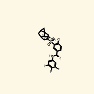 O=C(Nc1cc(F)c(F)c(F)c1)c1ccc(Cl)c(S(=O)(=O)[C@H]2CC3CC4CC4(C2)[C@]3(O)CO)c1